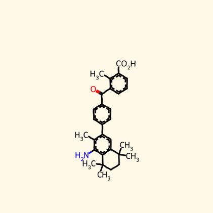 Cc1c(C(=O)O)cccc1C(=O)c1ccc(-c2cc3c(c(N)c2C)C(C)(C)CCC3(C)C)cc1